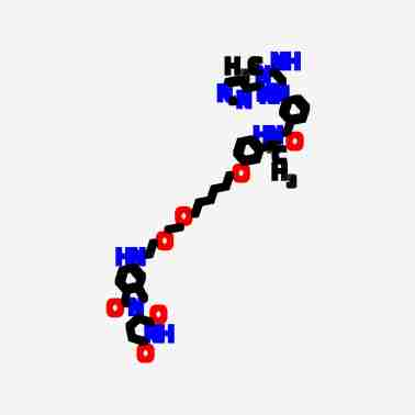 C[C@@H](NC(=O)c1cccc(NCC(=N)N(C)C(=N)c2ccncn2)c1)c1cccc(OCCCCCCOCCOCCNc2ccc3c(c2)CN(C2CCC(=O)NC2=O)C3=O)c1